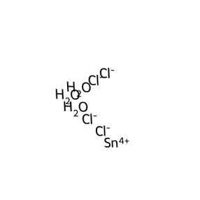 O.O.O.[Cl-].[Cl-].[Cl-].[Cl-].[Sn+4]